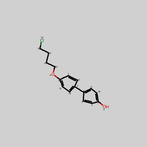 Oc1ccc(-c2ccc(OCCCCCl)cc2)cc1